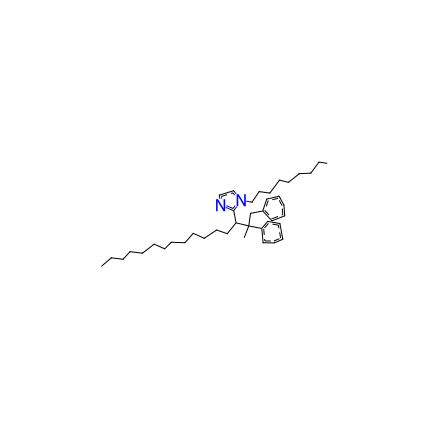 CCCCCCCCCCCCCC(c1nccn1CCCCCCCCC)C(C)(Cc1ccccc1)c1ccccc1